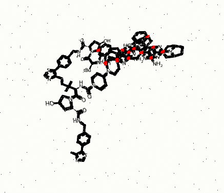 Cc1ncsc1-c1ccc(CNC(=O)[C@@H]2C[C@@H](O)CN2C(=O)[C@@H](NC(=O)N2CCC(N3CCC(c4cnc(N5C6CCC5CN(c5cc(-c7ccccc7O)nnc5N)C6)nc4)CC3)CC2)C(C)(C)CCc2ncsc2-c2ccc(CNC(=O)[C@@H]3C[C@@H](O)CN3C(=O)[C@@H](NC(=O)N3CCC(N4CCC(c5cnc(N6C7CCC6CN(c6cc(-c8ccccc8O)nnc6N)C7)nc5)CC4)CC3)C(C)(C)C)cc2)cc1